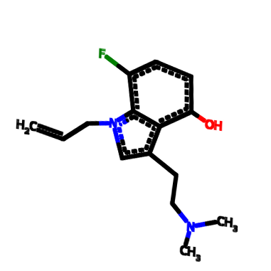 C=CCn1cc(CCN(C)C)c2c(O)ccc(F)c21